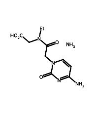 CCN(CC(=O)O)C(=O)Cn1ccc(N)nc1=O.N